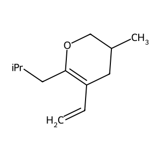 C=CC1=C(CC(C)C)OCC(C)C1